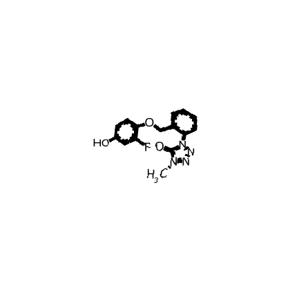 Cn1nnn(-c2ccccc2COc2ccc(O)cc2F)c1=O